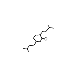 CC(C)CCC1CCC(CCC(C)C)C(=O)C1